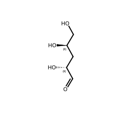 O=C[C@H](O)C[C@@H](O)CO